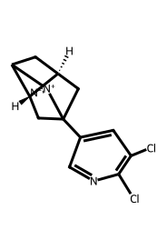 [N-]=[N+]1C2C[C@H]3CC1(c1cnc(Cl)c(Cl)c1)C[C@H]23